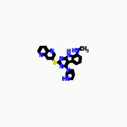 CNc1cccc2c1[nH]c1nc(Sc3cnc4cccnc4c3)nc(N3CC4CNC3C4)c12